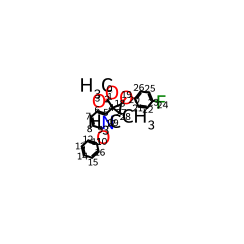 COC(=O)C1(c2cccc(Oc3ccccc3)n2)C(Oc2ccc(F)cc2)C1(C)C